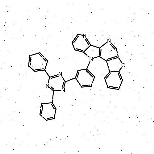 c1ccc(-c2nc(-c3ccccc3)nc(-c3cccc(-n4c5cccnc5c5ncc6oc7ccccc7c6c54)c3)n2)cc1